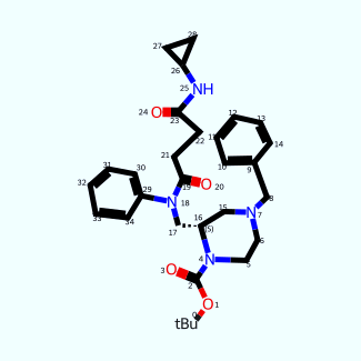 CC(C)(C)OC(=O)N1CCN(Cc2ccccc2)C[C@H]1CN(C(=O)CCC(=O)NC1CC1)c1ccccc1